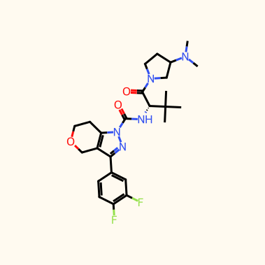 CN(C)C1CCN(C(=O)[C@@H](NC(=O)n2nc(-c3ccc(F)c(F)c3)c3c2CCOC3)C(C)(C)C)C1